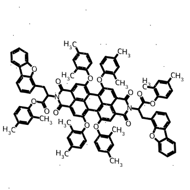 Cc1ccc(OC(=O)C(Cc2cccc3c2oc2ccccc23)N2C(=O)c3cc(Oc4ccc(C)cc4C)c4c5c(Oc6ccc(C)cc6C)cc6c7c(cc(Oc8ccc(C)cc8C)c(c8c(Oc9ccc(C)cc9C)cc(c3c48)C2=O)c75)C(=O)N(C(Cc2cccc3c2oc2ccccc23)C(=O)Oc2ccc(C)cc2C)C6=O)c(C)c1